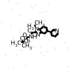 CCn1c([C@@H](C)NC(=O)OC(C)(C)C)nc2cc(-c3cccnc3)ccc21